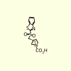 O=C(O)N1CC[C@H](CS(=O)(=O)c2nc3ccccc3s2)C1